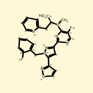 CN(c1nc(-c2cc(-c3ccon3)n(Cc3ccccc3F)n2)ncc1F)[C@@H](Cc1ccccn1)C(=O)O